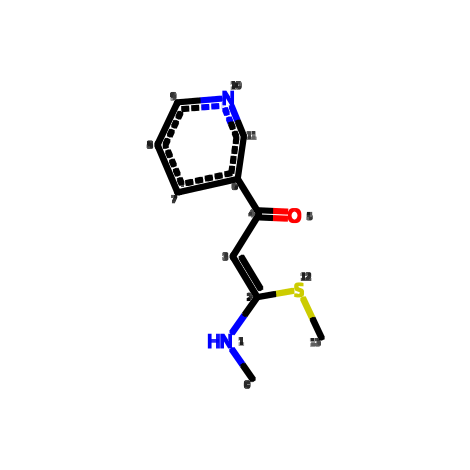 CN/C(=C/C(=O)c1cccnc1)SC